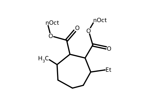 CCCCCCCCOC(=O)C1C(C)CCCC(CC)C1C(=O)OCCCCCCCC